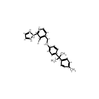 Cc1ccc(C(C)(C)c2ccc(OCc3ccnc(-n4nccn4)c3F)cc2)cc1